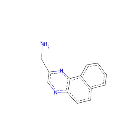 NCc1cnc2ccc3ccccc3c2n1